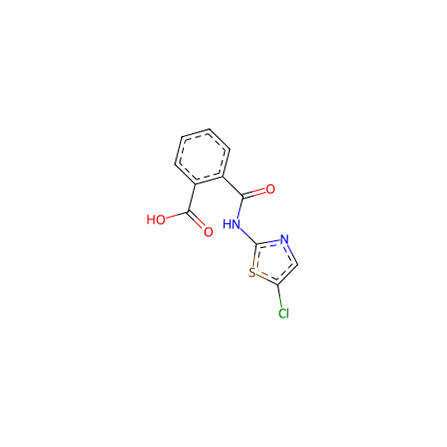 O=C(O)c1ccccc1C(=O)Nc1ncc(Cl)s1